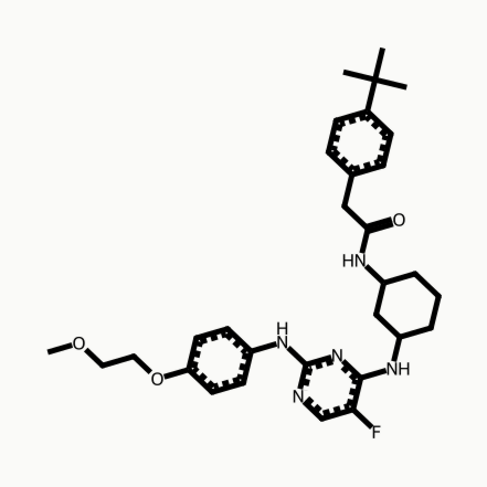 COCCOc1ccc(Nc2ncc(F)c(NC3CCCC(NC(=O)Cc4ccc(C(C)(C)C)cc4)C3)n2)cc1